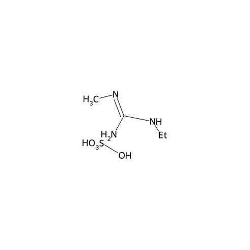 CCN/C(N)=N/C.O=S(=O)(O)O